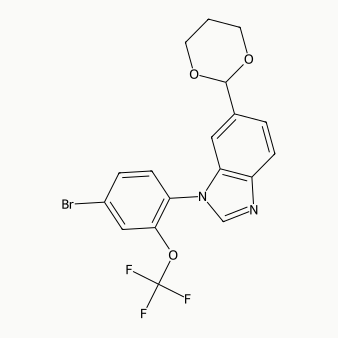 FC(F)(F)Oc1cc(Br)ccc1-n1cnc2ccc(C3OCCCO3)cc21